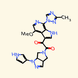 COc1cnc(-n2cnc(C)n2)c2[nH]cc(C(=O)C(=O)N3CC4C=NN(c5cc[nH]c5)C4C3)c12